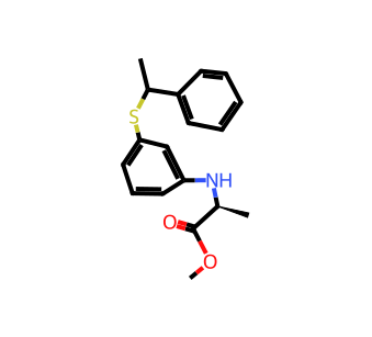 COC(=O)[C@H](C)Nc1cccc(SC(C)c2ccccc2)c1